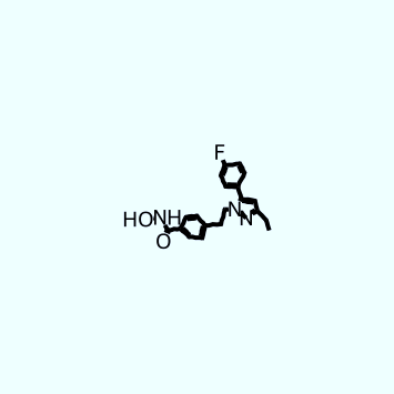 CCc1cc(-c2ccc(F)cc2)n(CCc2ccc(C(=O)NO)cc2)n1